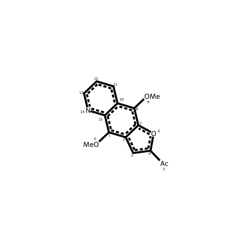 COc1c2cc(C(C)=O)oc2c(OC)c2cccnc12